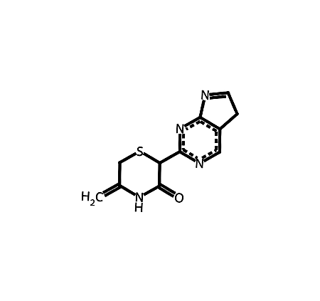 C=C1CSC(c2ncc3c(n2)N=CC3)C(=O)N1